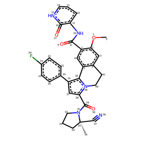 COc1cc2c(cc1C(=O)Nc1ccc[nH]c1=O)-c1c(-c3ccc(F)cc3)cc(C(=O)N3CCC[C@]3(C)C#N)n1CC2